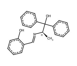 C[C@@H](N=Cc1ccccc1O)C(O)(c1ccccc1)c1ccccc1